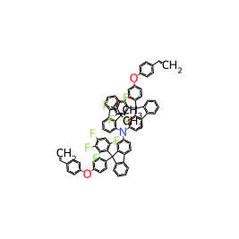 C=Cc1ccc(Oc2ccc(C3(c4c(F)cc(F)c(F)c4F)c4ccccc4-c4ccc(N(c5ccc6c(c5)C(c5ccc(Oc7ccc(C=C)cc7)cc5)(c5c(F)cc(F)c(F)c5F)c5ccccc5-6)c5cccc6c5C(C)(C)c5ccccc5-6)cc43)cc2)cc1